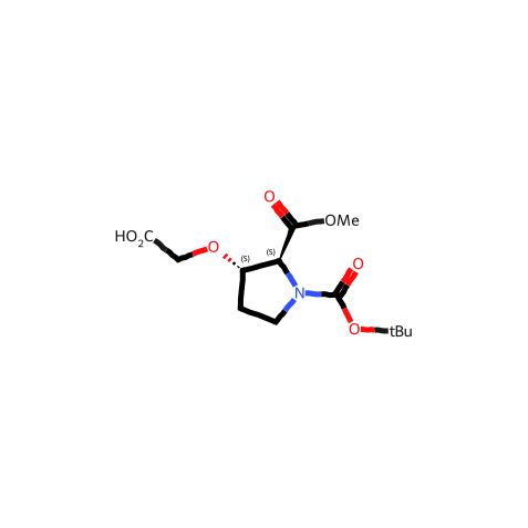 COC(=O)[C@@H]1[C@@H](OCC(=O)O)CCN1C(=O)OC(C)(C)C